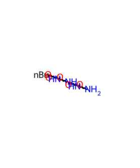 CCCCOC(=O)CCCCCNC(=O)CCCCCNC(=O)CCCCCNC(=O)CCCCCN